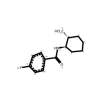 O=C(N[C@@H]1CCCC[C@H]1C(=O)O)c1ccc(F)cc1